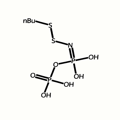 CCCCSSN=P(O)(O)OP(=O)(O)O